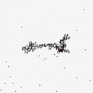 Cn1c(=O)n(C2CCC(=O)NC2=O)c2cccc(CCCOCCOCCNCc3ccc(-n4cc(N5C(C(N)=O)=COC5c5ccnc(NCC(F)(F)F)c5)c(C(N)=O)n4)cc3)c21